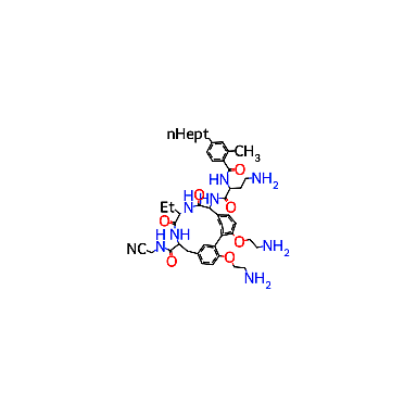 CCCCCCCc1ccc(C(=O)NC(CCN)C(=O)NC2C(=O)NC(CC)C(=O)NC(C(=O)NCC#N)Cc3ccc(OCCN)c(c3)-c3cc2ccc3OCCN)c(C)c1